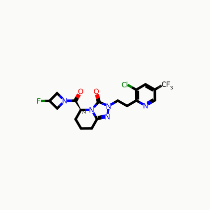 O=C([C@@H]1CCCc2nn(CCc3ncc(C(F)(F)F)cc3Cl)c(=O)n21)N1CC(F)C1